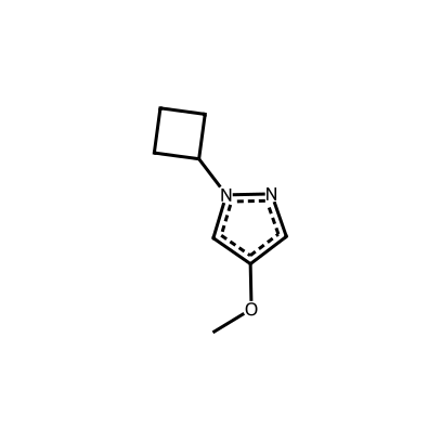 COc1cnn(C2CCC2)c1